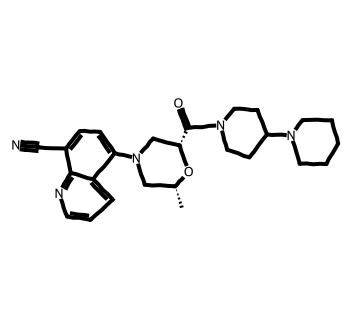 C[C@@H]1CN(c2ccc(C#N)c3ncccc23)C[C@H](C(=O)N2CCC(N3CCCCC3)CC2)O1